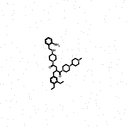 CCc1ccc(CC(CC(=O)N2CCC(NCc3ccccc3N)CC2)C(=O)N2CCN(C3CCN(C)CC3)CC2)cc1CC